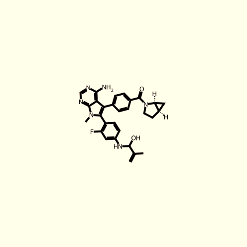 C=C(C)C(O)Nc1ccc(-c2c(-c3ccc(C(=O)N4CC[C@@H]5C[C@@H]54)cc3)c3c(N)ncnc3n2C)c(F)c1